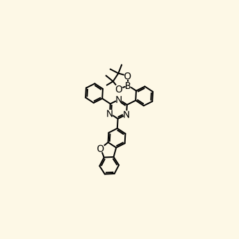 CC1(C)OB(c2ccccc2-c2nc(-c3ccccc3)nc(-c3ccc4c(c3)oc3ccccc34)n2)OC1(C)C